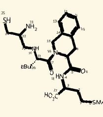 CSCCC(NC(=O)C1Cc2ccccc2CN1C(=O)[C@@H](NCC(N)CS)C(C)(C)C)C(=O)O